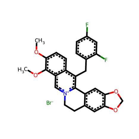 COc1ccc2c(Cc3ccc(F)cc3F)c3[n+](cc2c1OC)CCc1cc2c(cc1-3)OCO2.[Br-]